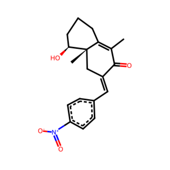 CC1=C2CCC[C@H](O)[C@@]2(C)CC(=Cc2ccc([N+](=O)[O-])cc2)C1=O